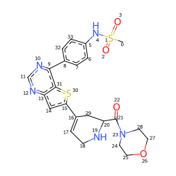 CS(=O)(=O)Nc1ccc(-c2ncnc3cc(C4=CCNC(C(=O)N5CCOCC5)C4)sc23)cc1